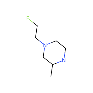 CC1CN(CCF)CC[N]1